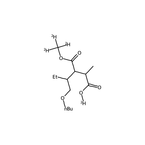 [2H]OC(=O)C(C)C(C(=O)OC([2H])([2H])[2H])C(CC)COCCCC